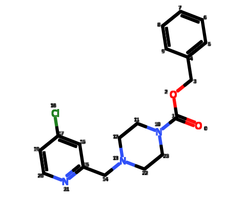 O=C(OCc1ccccc1)N1CCN(Cc2cc(Cl)ccn2)CC1